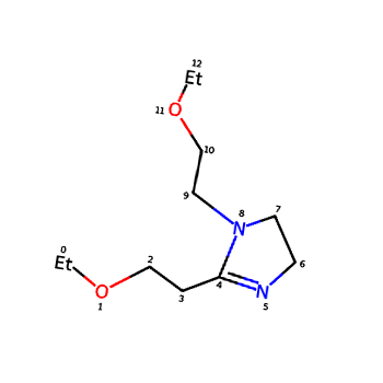 CCOCCC1=NCCN1CCOCC